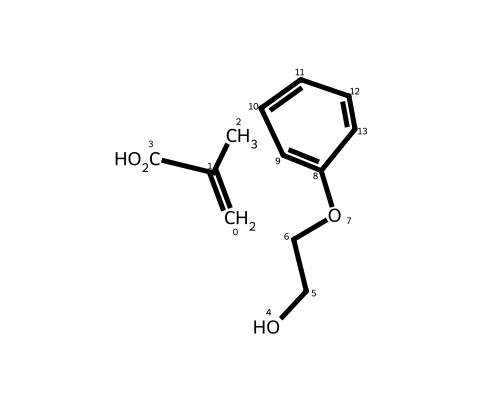 C=C(C)C(=O)O.OCCOc1ccccc1